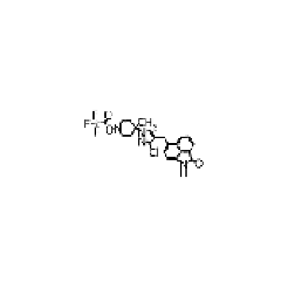 CC1(n2cc(Cc3ccc4c5c(cccc35)C(=O)N4)c(Cl)n2)CCN(OC(=O)C(F)(F)F)CC1